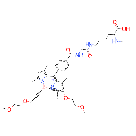 CNC(CCCCNC(=O)CNC(=O)c1ccc(/C(=C2/N=C(C)C=C2C)c2c(C)cc(C)n2B(C#CCOCCOC)C#CCOCCOC)cc1)C(=O)O